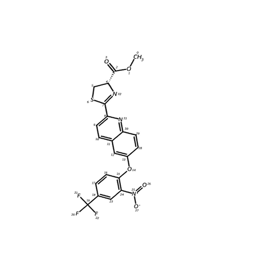 COC(=O)[C@H]1CSC(c2ccc3cc(Oc4ccc(C(F)(F)F)cc4[N+](=O)[O-])ccc3n2)=N1